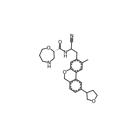 Cc1cc2c(cc1CC(C#N)NC(=O)[C@@H]1CNCCCO1)OCc1ccc(C3CCOC3)cc1-2